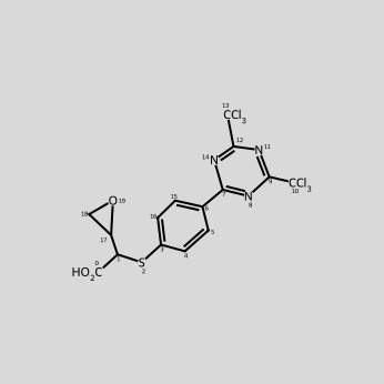 O=C(O)C(Sc1ccc(-c2nc(C(Cl)(Cl)Cl)nc(C(Cl)(Cl)Cl)n2)cc1)C1CO1